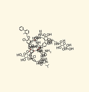 CN[C@H](CC(C)C)C(=O)N[C@H]1C(=O)N[C@@H](CC(N)=O)C(=O)N[C@H]2C(=O)N[C@@H]3C(=O)N[C@H](C(=O)N[C@H](C(=O)O)c4cc(O)c(CNCCCNC(=O)[C@H](O)[C@@H](O)[C@H](O)[C@H](O)CO)c(O)c4-c4cc3ccc4O)[C@H](O)c3ccc(c(Cl)c3)Oc3cc2cc(c3O[C@@H]2O[C@H](CO)C(O)C(O)[C@H]2O[C@@H]2C[C@@H](C)[C@@H](O)C(C)(NCc3ccc(OCc4cccc(-c5ccccc5)c4C)c(Cl)c3)C2)Oc2ccc(cc2Cl)[C@H]1O